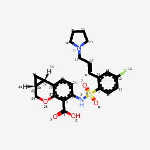 O=C(O)c1c(NS(=O)(=O)c2ccc(F)cc2C=CCN2CCCC2)ccc2c1OC[C@@H]1C[C@H]21